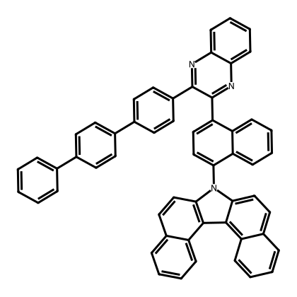 c1ccc(-c2ccc(-c3ccc(-c4nc5ccccc5nc4-c4ccc(-n5c6ccc7ccccc7c6c6c7ccccc7ccc65)c5ccccc45)cc3)cc2)cc1